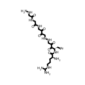 CC(C)C[C@H](NC(=O)[C@@H](N)CCCNC(N)N)C(=O)C(=O)CNNCC(=O)C(=O)CNC(=O)CNC(=O)CNN